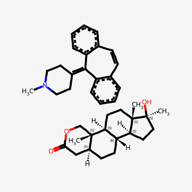 CN1CCC(=C2c3ccccc3C=Cc3ccccc32)CC1.C[C@]12COC(=O)C[C@@H]1CC[C@@H]1[C@@H]2CC[C@@]2(C)[C@H]1CC[C@]2(C)O